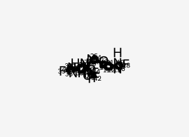 O=C(Oc1c(-c2cc(-c3cc4ccc(C5=NCC(F)CN5)cc4o3)ccn2)[nH]c2cc(C3=NCC(F)CN3)ccc12)C(F)(F)F